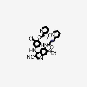 CCOc1cc2ncc(C#N)c(Nc3ccc(OCc4ccccn4)c(Cl)c3)c2cc1NC(=O)/C=C/C1C=CC=CN1C